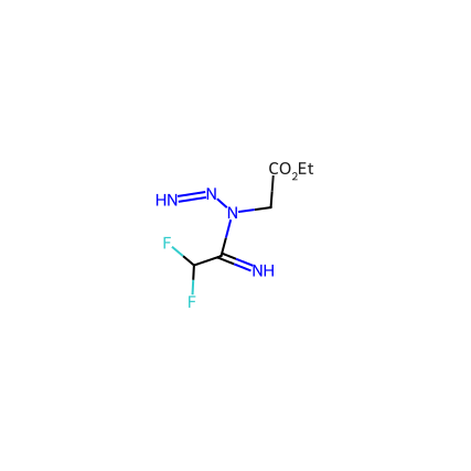 CCOC(=O)CN(N=N)C(=N)C(F)F